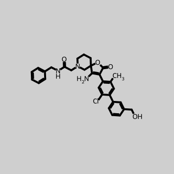 Cc1cc(-c2cccc(CO)c2)c(Cl)cc1C1=C(N)C2(CCCN(CC(=O)NCc3ccccc3)C2)OC1=O